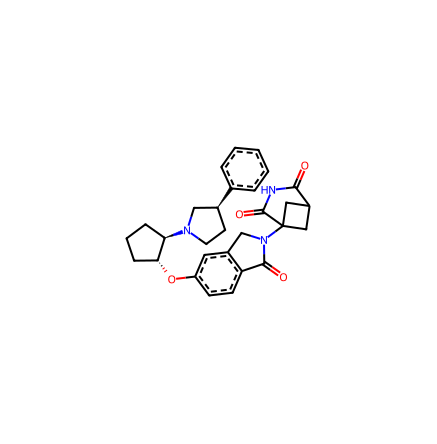 O=C1NC(=O)C2(N3Cc4cc(O[C@@H]5CCC[C@H]5N5CC[C@H](c6ccccc6)C5)ccc4C3=O)CC1C2